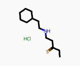 CCC(=S)CCNCCC1CCCCC1.Cl